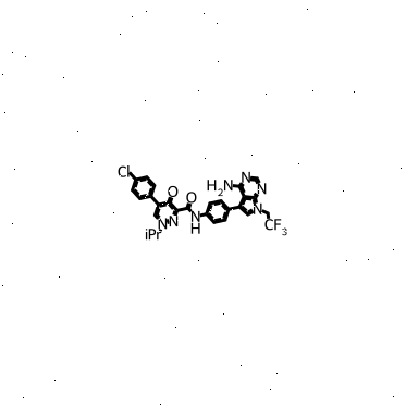 CC(C)n1cc(-c2ccc(Cl)cc2)c(=O)c(C(=O)Nc2ccc(-c3cn(CC(F)(F)F)c4ncnc(N)c34)cc2)n1